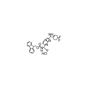 Cl.N[C@H](c1cn2ccc([C@H](NC(=O)OCC3c4ccccc4-c4ccccc43)C3CC3)nc2n1)C1CCC(F)(F)CC1